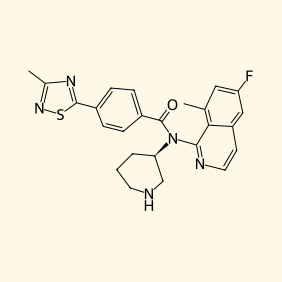 Cc1nsc(-c2ccc(C(=O)N(c3nccc4cc(F)cc(C)c34)[C@@H]3CCCNC3)cc2)n1